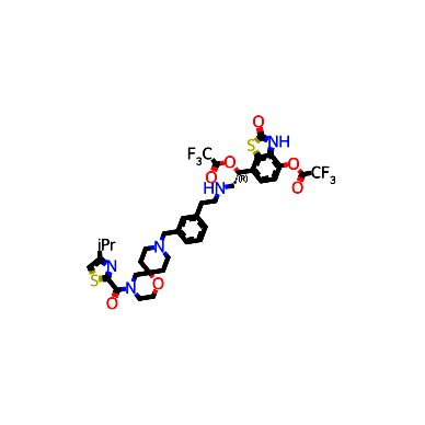 CC(C)c1csc(C(=O)N2CCOC3(CCN(Cc4cccc(CCNC[C@H](OC(=O)C(F)(F)F)c5ccc(OC(=O)C(F)(F)F)c6[nH]c(=O)sc56)c4)CC3)C2)n1